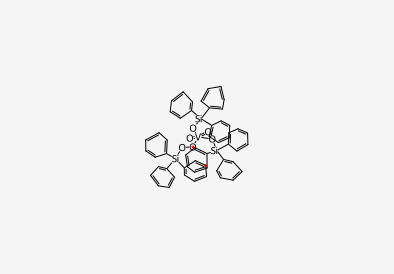 [O]=[V](=[O])([O]O[Si](c1ccccc1)(c1ccccc1)c1ccccc1)([O][Si](c1ccccc1)(c1ccccc1)c1ccccc1)[O][Si](c1ccccc1)(c1ccccc1)c1ccccc1